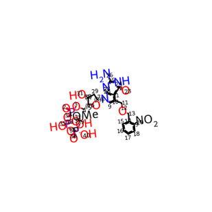 COP(=O)(OC[C@H]1O[C@@H](n2cc(COCc3ccccc3[N+](=O)[O-])c3c(=O)[nH]c(N)nc32)C[C@H]1O)OP(=O)(O)OP(=O)(O)O